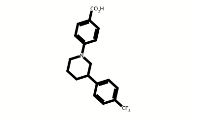 O=C(O)c1ccc(N2CCCC(c3ccc(C(F)(F)F)cc3)C2)cc1